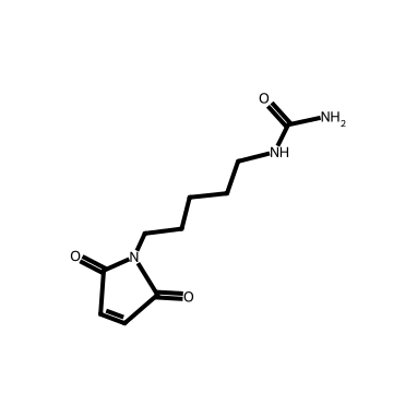 NC(=O)NCCCCCN1C(=O)C=CC1=O